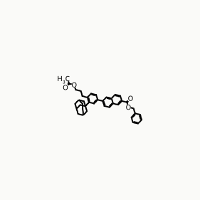 CC(=O)OCCCc1ccc(-c2ccc3cc(C(=O)OCc4ccccc4)ccc3c2)cc1C12CC3CC(CC(C3)C1)C2